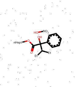 CCCCCCCOC(=O)C(O)(c1ccccc1)C(CC)CC.O=[N+]([O-])O